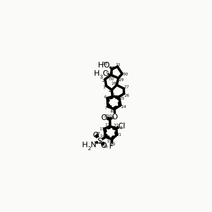 C[C@]12CCC3c4ccc(OC(=O)c5cc(S(N)(=O)=O)c(F)cc5Cl)cc4CCC3C1CC[C@@H]2O